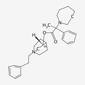 CC(C(=O)O[C@H]1C[N+]2(CCc3ccccc3)CCC1CC2)(c1ccccc1)N1CCCCCC1